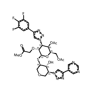 COC(=O)CO[C@@H]1[C@@H](n2cc(-c3cc(F)c(F)c(F)c3)nn2)[C@@H](OC(C)=O)[C@@H](COC(C)=O)O[C@H]1S[C@@H]1COC[C@H](n2cc(-c3cncnc3)nn2)[C@H]1O